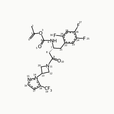 C=C(C)OC(=O)N[C@@H](CC(=O)N1CC(n2nccc2C(F)(F)F)C1)Cc1cc(F)c(F)cc1F